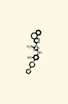 N#Cc1cc(Nc2nc(N)n(-c3cc4c(nn3)-c3ccccc3CCC4)n2)ccc1N1CCC(N2CCCC2)CC1